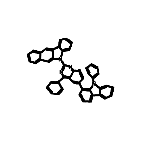 c1ccc(-c2nc(-n3c4ccccc4c4cc5ccccc5cc43)nc3ccc(-c4cccc5c6ccccc6n(-c6ccccc6)c45)cc23)cc1